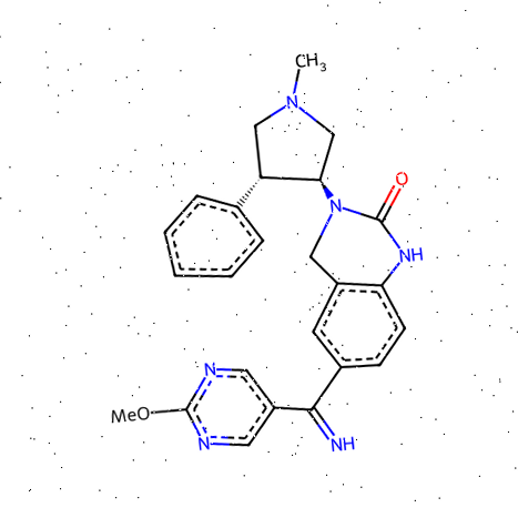 COc1ncc(C(=N)c2ccc3c(c2)CN([C@@H]2CN(C)C[C@H]2c2ccccc2)C(=O)N3)cn1